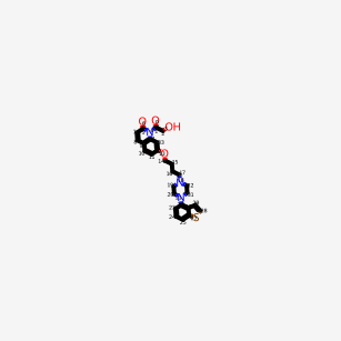 O=C(CO)n1c(=O)ccc2ccc(OCCCCN3CCN(c4cccc5sccc45)CC3)cc21